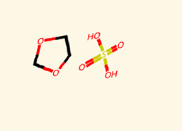 C1COCO1.O=S(=O)(O)O